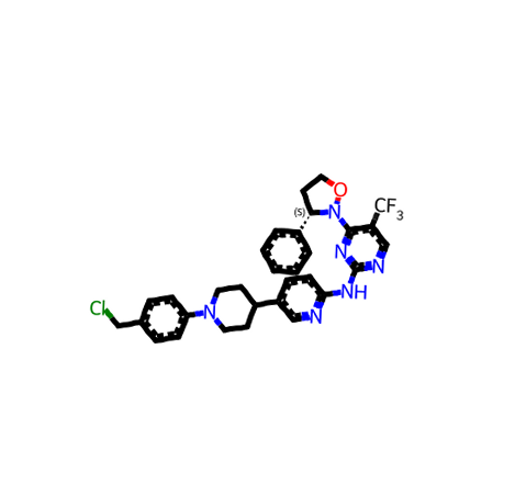 FC(F)(F)c1cnc(Nc2ccc(C3CCN(c4ccc(CCl)cc4)CC3)cn2)nc1N1OCC[C@H]1c1ccccc1